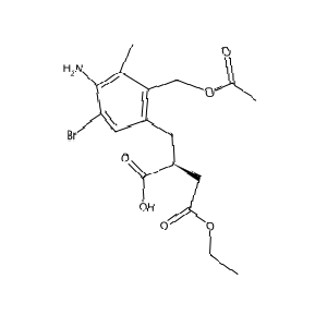 CCOC(=O)C[C@H](Cc1cc(Br)c(N)c(C)c1COC(C)=O)C(=O)O